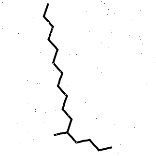 C[CH]CCC(C)CCCCCCCCCCC